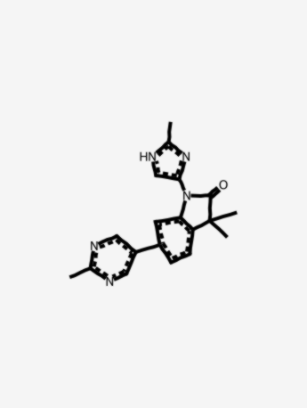 Cc1ncc(-c2ccc3c(c2)N(c2c[nH]c(C)n2)C(=O)C3(C)C)cn1